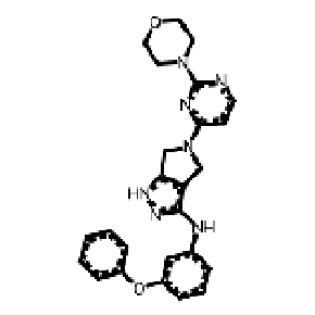 c1ccc(Oc2cccc(Nc3n[nH]c4c3CN(c3ccnc(N5CCOCC5)n3)C4)c2)cc1